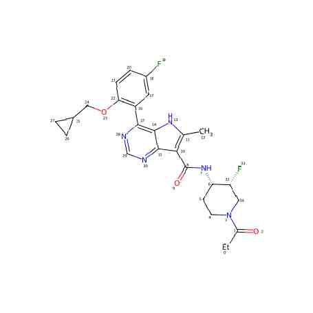 CCC(=O)N1CC[C@H](NC(=O)c2c(C)[nH]c3c(-c4cc(F)ccc4OCC4CC4)ncnc23)[C@H](F)C1